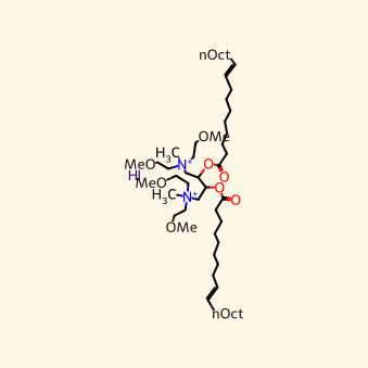 CCCCCCCCC=CCCCCCCCC(=O)OC(C[N+](C)(CCOC)CCOC)C(C[N+](C)(CCOC)CCOC)OC(=O)CCCCCCCC=CCCCCCCCC.I